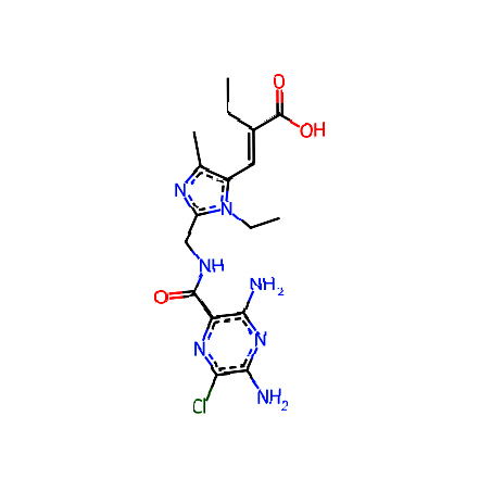 CC/C(=C\c1c(C)nc(CNC(=O)c2nc(Cl)c(N)nc2N)n1CC)C(=O)O